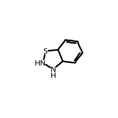 C1=CC2NNSC2C=C1